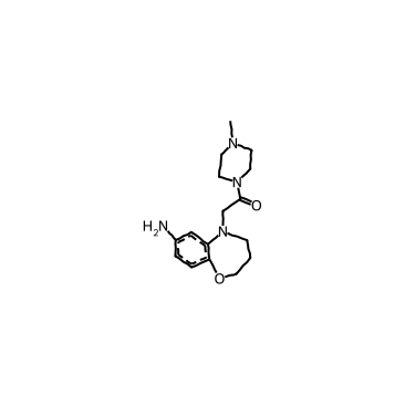 CN1CCN(C(=O)CN2CCCOc3ccc(N)cc32)CC1